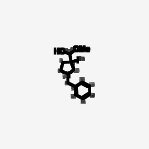 COC(O)[C@@]1(F)CCN(Cc2ccccc2)C1